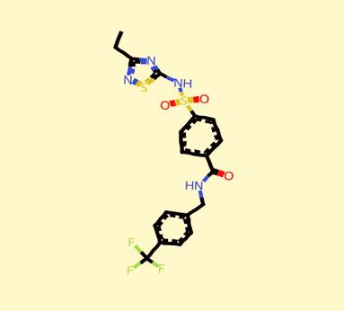 CCc1nsc(NS(=O)(=O)c2ccc(C(=O)NCc3ccc(C(F)(F)F)cc3)cc2)n1